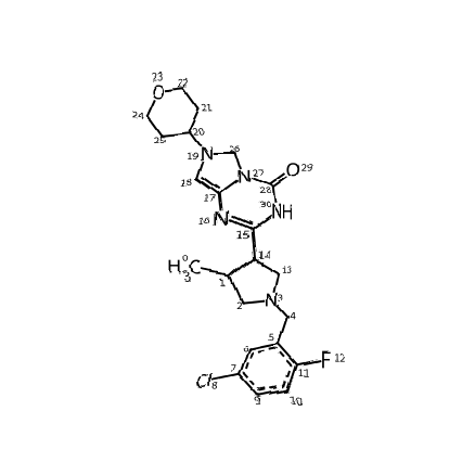 CC1CN(Cc2cc(Cl)ccc2F)CC1C1=NC2=CN(C3CCOCC3)CN2C(=O)N1